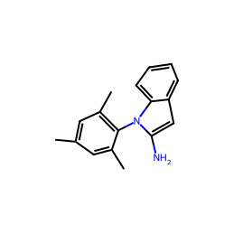 Cc1cc(C)c(-n2c(N)cc3ccccc32)c(C)c1